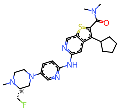 CN(C)C(=O)c1sc2cnc(Nc3ccc(N4CCN(C)[C@@H](CF)C4)cn3)cc2c1C1CCCC1